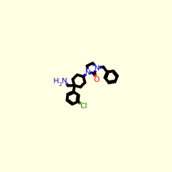 NCC1(c2cccc(Cl)c2)CCC(N2CCN(Cc3ccccc3)C2=O)CC1